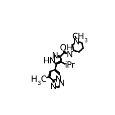 Cc1cc(-c2[nH]nc(C(=O)N[C@@H]3CCCN(C)C3)c2C(C)C)cn2ncnc12